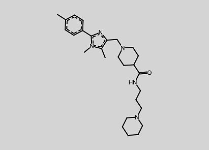 Cc1ccc(-c2nc(CN3CCC(C(=O)NCCCN4CCCCC4)CC3)c(C)n2C)cc1